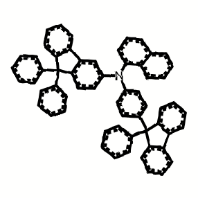 c1ccc(C2(c3ccc(N(c4ccc5c(c4)-c4ccccc4C5(c4ccccc4)c4ccccc4)c4cccc5ccccc45)cc3)c3ccccc3-c3ccccc32)cc1